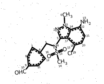 Cn1nc(N(Cc2ccc(C=O)cc2)S(C)(=O)=O)c2c(Cl)ccc(N)c21